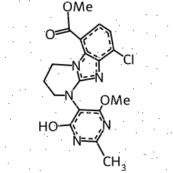 COC(=O)c1ccc(Cl)c2nc3n(c12)CCCN3c1c(O)nc(C)nc1OC